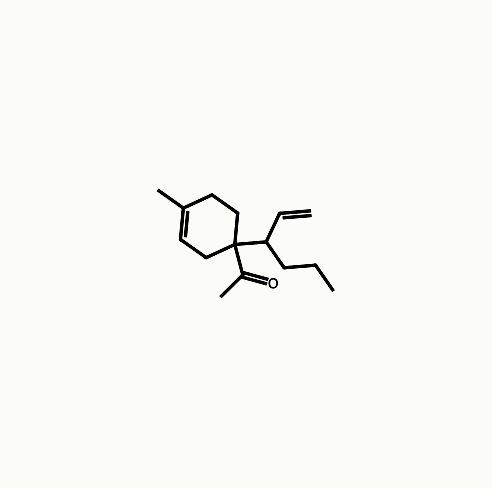 C=CC(CCC)C1(C(C)=O)CC=C(C)CC1